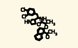 CC(=O)c1c(OC(C)C(=O)NC(Cc2ccc(Cl)c(Cl)c2)C2CCNC2)ccc2ccccc12